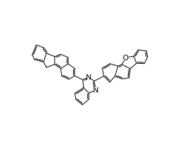 c1ccc2c(c1)Cc1c-2ccc2cc(-c3nc(-c4ccc5c(ccc6c7ccccc7oc56)c4)nc4ccccc34)ccc12